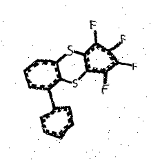 Fc1c(F)c(F)c2c(c1F)Sc1cccc(-c3ccccc3)c1S2